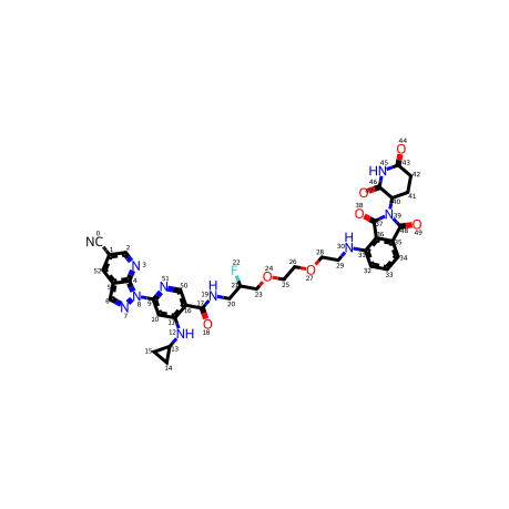 N#Cc1cnc2c(cnn2-c2cc(NC3CC3)c(C(=O)NCC(F)COCCOCCNc3cccc4c3C(=O)N(C3CCC(=O)NC3=O)C4=O)cn2)c1